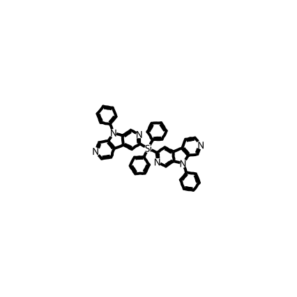 c1ccc(-n2c3cnccc3c3cc([Si](c4ccccc4)(c4ccccc4)c4cc5c6ccncc6n(-c6ccccc6)c5cn4)ncc32)cc1